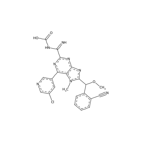 COC(c1ccccc1C#N)c1nc2nc(C(=N)NC(=O)O)nc(-c3cncc(Cl)c3)c2n1C